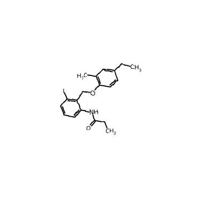 CCC(=O)Nc1cccc(I)c1COc1ccc(CC)cc1C